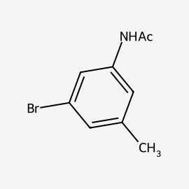 CC(=O)Nc1cc(C)cc(Br)c1